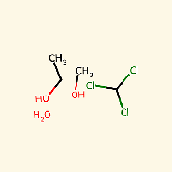 CCO.CO.ClC(Cl)Cl.O